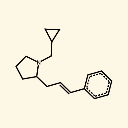 C(=Cc1ccccc1)CC1CCCN1CC1CC1